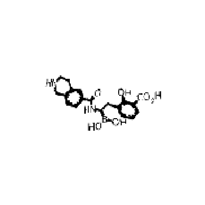 O=C(N[C@@H](Cc1cccc(C(=O)O)c1O)B(O)O)c1ccc2c(c1)CCNC2